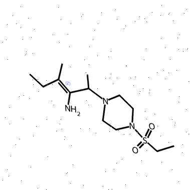 CC/C(C)=C(\N)C(C)N1CCN(S(=O)(=O)CC)CC1